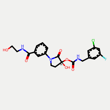 O=C(NCc1cc(F)cc(Cl)c1)O[C@]1(O)CCN(c2cccc(C(=O)NCCO)c2)C1=O